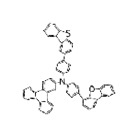 c1ccc2c(c1)oc1c(-c3ccc(N(c4ccc(-c5ccc6sc7ccccc7c6c5)cc4)c4ccc5c6ccccc6c6ccccc6c5c4)cc3)cccc12